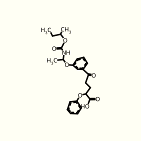 CCC(C)OC(=O)NC(C)Oc1cccc(C(=O)CCC(Oc2ccccc2)C(=O)O)c1